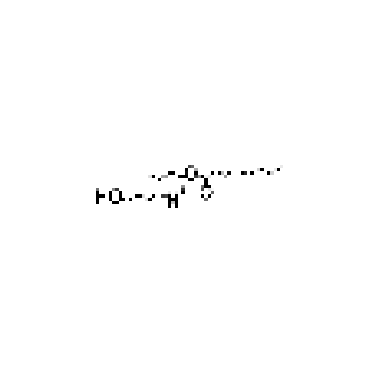 CCCCCCCC(=O)OC(CCC)CN(C)CCCCO